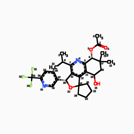 CC(=O)O[C@H]1c2nc(C(C)C)c3c(c2C(O)CC1(C)C)C1(CCCC1)O[C@@H]3c1ccc(C(F)(F)F)nc1